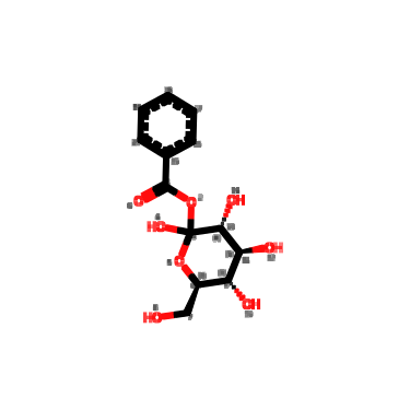 O=C(OC1(O)O[C@H](CO)[C@@H](O)[C@H](O)[C@H]1O)c1ccccc1